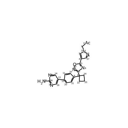 CC(=O)Cn1cc(-c2nc(C3(c4ccc(-c5cnc(N)nc5)cc4)CCC3)no2)cn1